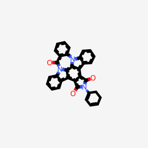 O=c1c2c(c(=O)n1C1=CC=CCC1)c1c3ccccc3n3c4ccccc4c(=O)n4c5ccccc5c2c4c13